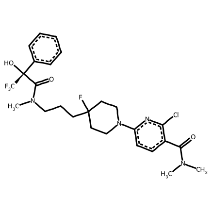 CN(C)C(=O)c1ccc(N2CCC(F)(CCCN(C)C(=O)[C@](O)(c3ccccc3)C(F)(F)F)CC2)nc1Cl